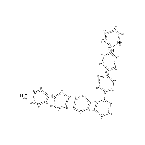 O.c1ccccc1.c1ccccc1.c1ccccc1.c1ccccc1.c1ccccc1.c1ccccc1.n1p[nH][pH][nH][pH]1